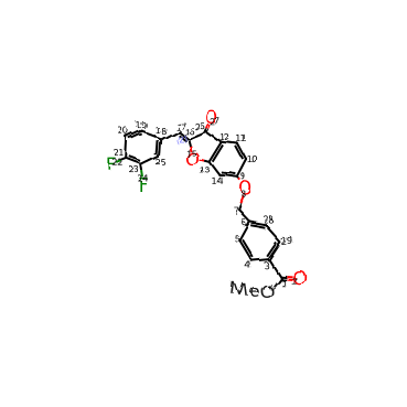 COC(=O)c1ccc(COc2ccc3c(c2)O/C(=C\c2ccc(F)c(F)c2)C3=O)cc1